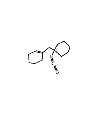 O=C=NC1(CC2=CCCCC2)CCCCC1